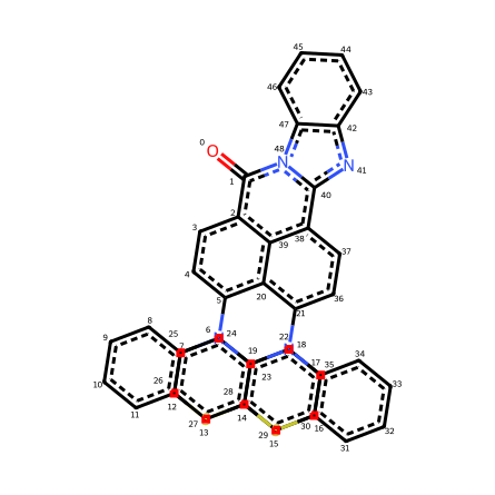 O=c1c2ccc(N3c4ccccc4Sc4ccccc43)c3c(N4c5ccccc5Sc5ccccc54)ccc(c32)c2nc3ccccc3n12